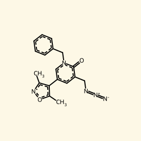 Cc1noc(C)c1-c1cc(CN=[N+]=[N-])c(=O)n(Cc2ccccc2)c1